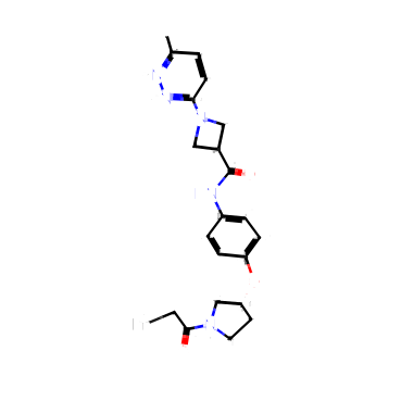 Cc1ccc(N2CC(C(=O)Nc3ccc(O[C@@H]4CCN(C(=O)CC(C)C)C4)cc3)C2)nn1